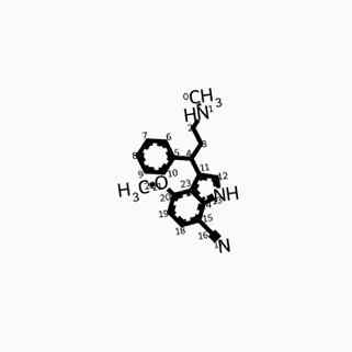 CNCCC(c1ccccc1)c1c[nH]c2c(C#N)ccc(OC)c12